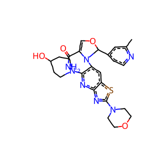 Cc1cc(C2OC=C(C(N)=O)N2c2cc3sc(N4CCOCC4)nc3nc2N2CCC(O)CC2)ccn1